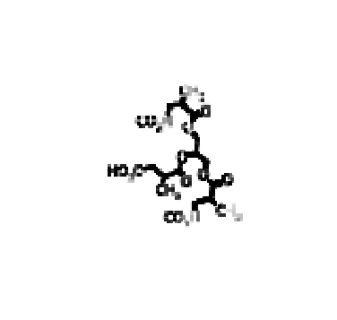 CC(CC(=O)O)C(=O)OCC(COC(=O)C(C)CC(=O)O)OC(=O)C(C)CC(=O)O